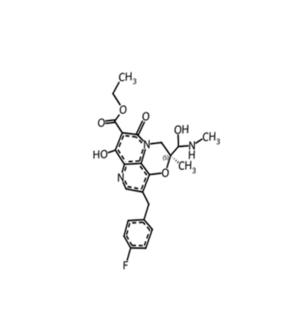 CCOC(=O)c1c(O)c2ncc(Cc3ccc(F)cc3)c3c2n(c1=O)C[C@@](C)(C(O)NC)O3